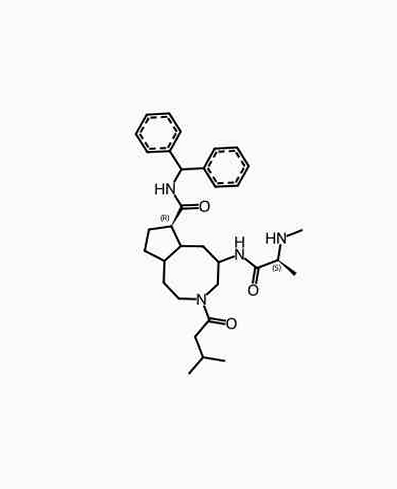 CN[C@@H](C)C(=O)NC1CC2C(CC[C@H]2C(=O)NC(c2ccccc2)c2ccccc2)CCN(C(=O)CC(C)C)C1